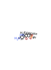 COc1cc2c(cc1S(=O)(=O)C(C)C)C(=O)c1c([nH]c3cc(N)ccc13)C2(C)C